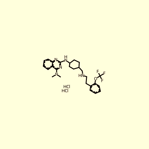 CN(C)c1nc(NC2CCC(CNCCc3ccccc3OC(F)(F)F)CC2)nc2ccccc12.Cl.Cl